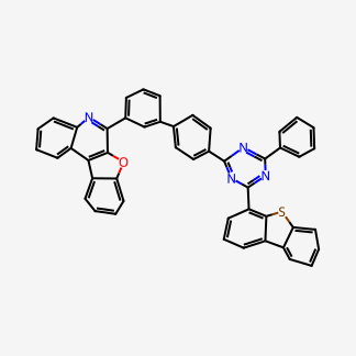 c1ccc(-c2nc(-c3ccc(-c4cccc(-c5nc6ccccc6c6c5oc5ccccc56)c4)cc3)nc(-c3cccc4c3sc3ccccc34)n2)cc1